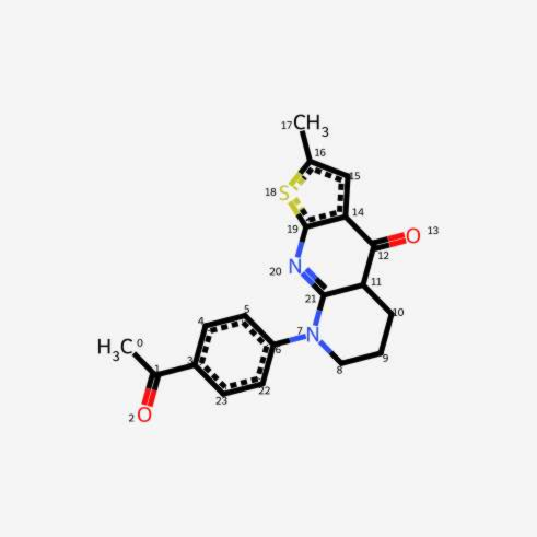 CC(=O)c1ccc(N2CCCC3C(=O)c4cc(C)sc4N=C32)cc1